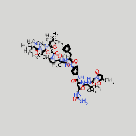 CC[C@H](C)[C@@H]([C@@H](CC(=O)N1CCC[C@H]1[C@H](OC)[C@@H](C)C(=O)N[C@@H](Cc1ccccc1)C(=O)Nc1ccc(NC(=O)[C@H](CCCNC(N)=O)NC(=O)[C@@H](NC(=O)CN2C(=O)CC(C)C2=O)C(C)C)cc1)OC)N(C)C(=O)[C@@H](NC(=O)[C@H](C(C)C)N(C)C)C(C)C